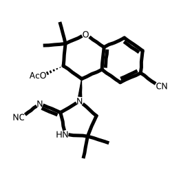 CC(=O)O[C@H]1[C@H](N2CC(C)(C)NC2=NC#N)c2cc(C#N)ccc2OC1(C)C